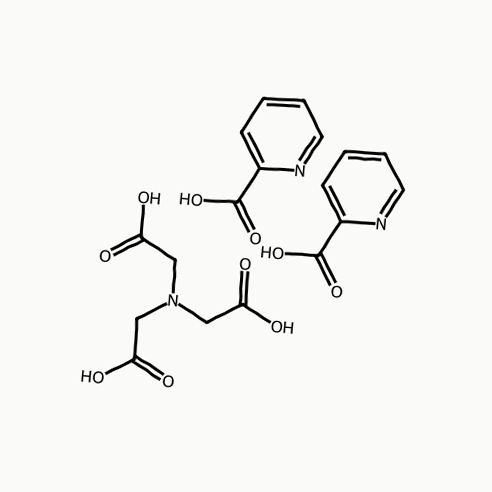 O=C(O)CN(CC(=O)O)CC(=O)O.O=C(O)c1ccccn1.O=C(O)c1ccccn1